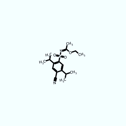 CCOC(C)=NS(=O)(=O)c1cc(C(C)C)c(C#N)cc1C(C)C